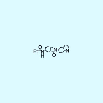 CCC(=O)Nc1ccc2c(c1)C(=O)N(c1ccc3ncccc3c1)C2